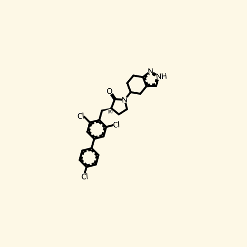 O=C1[C@H](Cc2c(Cl)cc(-c3ccc(Cl)cc3)cc2Cl)CCN1C1CCc2n[nH]cc2C1